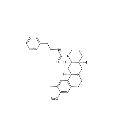 COc1cc2c(cc1C)[C@H]1C[C@@H]3[C@@H](CCCN3C(=O)NCCc3ccccc3)CN1CC2